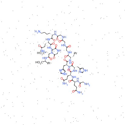 CC(C)C[C@H](NC(=O)[C@H](Cc1c[nH]cn1)NC(=O)[C@H](Cc1c[nH]cn1)NC(=O)[C@H](CCC(N)=O)NC(=O)[C@H](CCC(N)=O)NC(=O)CN)C(=O)NCC(=O)NCC(=O)N[C@@H](C)C(=O)N[C@@H](CCCCN)C(=O)N[C@@H](CCC(N)=O)C(=O)N[C@@H](C)C(=O)NCC(=O)N[C@@H](CC(=O)O)C(=O)N[C@H](C(=O)O)C(C)C